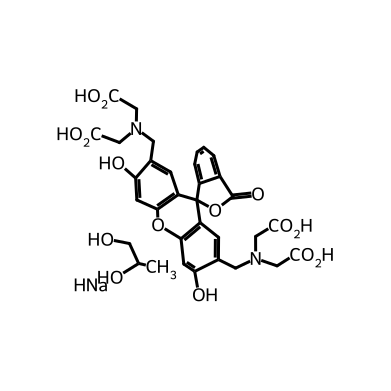 CC(O)CO.O=C(O)CN(CC(=O)O)Cc1cc2c(cc1O)Oc1cc(O)c(CN(CC(=O)O)CC(=O)O)cc1C21OC(=O)c2ccccc21.[NaH]